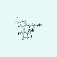 CSc1ccc(-c2cc(C#N)nn2-c2cc(F)ccc2F)cc1